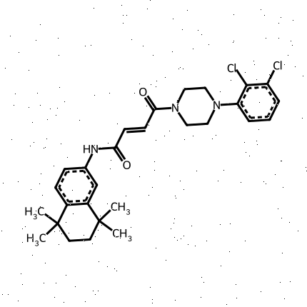 CC1(C)CCC(C)(C)c2cc(NC(=O)C=CC(=O)N3CCN(c4cccc(Cl)c4Cl)CC3)ccc21